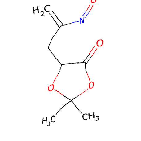 C=C(CC1OC(C)(C)OC1=O)N=O